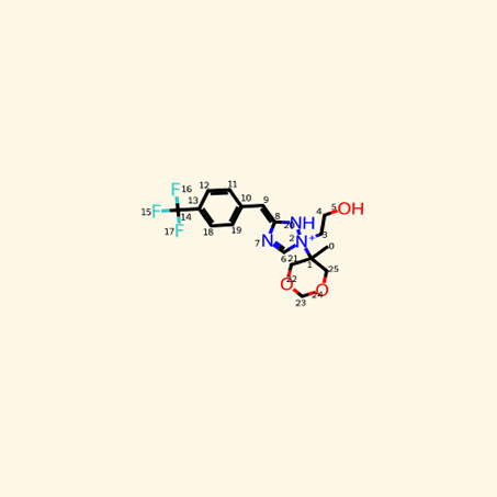 CC1([N+]2(CCO)C=NC(=Cc3ccc(C(F)(F)F)cc3)N2)COCOC1